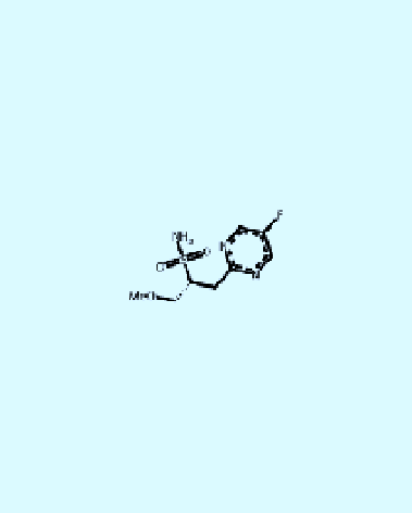 COC[C@@H](Cc1ncc(F)cn1)S(N)(=O)=O